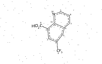 O=C(O)c1cc(C(F)(F)F)cc2cccnc12